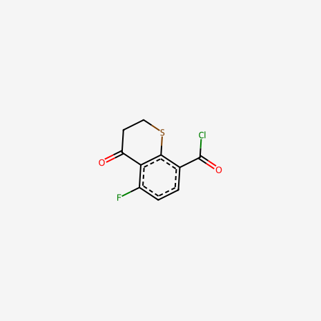 O=C(Cl)c1ccc(F)c2c1SCCC2=O